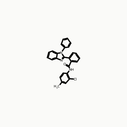 Cc1ccc(NC(=O)c2ccccc2-c2nc3ccccc3n2-c2ccccc2)c(Cl)c1